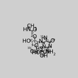 CNC(=O)CO[C@@H]1[C@@H](O)[C@@H](CO)O[C@H]1n1cnc2c(=O)nc(N)n([SH]=P(O)(O)O)c21